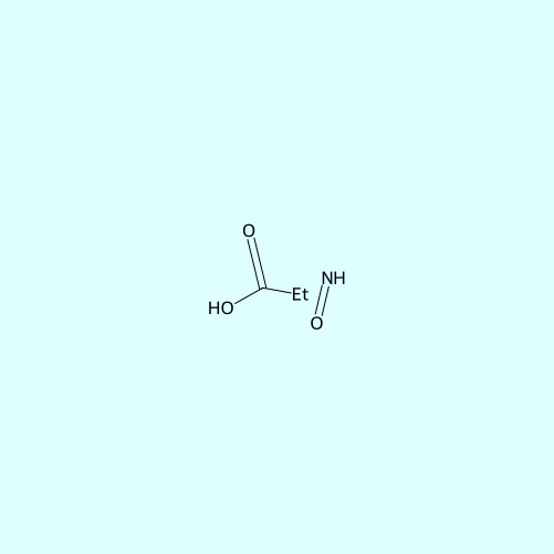 CCC(=O)O.N=O